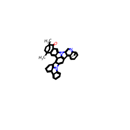 CC12CCC(C)(CC1)c1cc3c4c5c6cccc7c8ccccc8n(c5cc5c8c9c(ncc8n(c3cc1C2=O)c54)C1CCC9CC1)c76